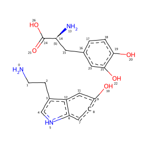 NCCc1c[nH]c2ccc(O)cc12.N[C@@H](Cc1ccc(O)c(O)c1)C(=O)O